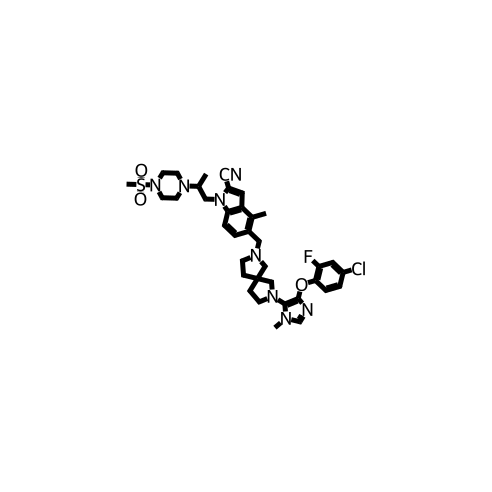 Cc1c(CN2CCC3(CCN(c4c(Oc5ccc(Cl)cc5F)ncn4C)C3)C2)ccc2c1cc(C#N)n2CC(C)N1CCN(S(C)(=O)=O)CC1